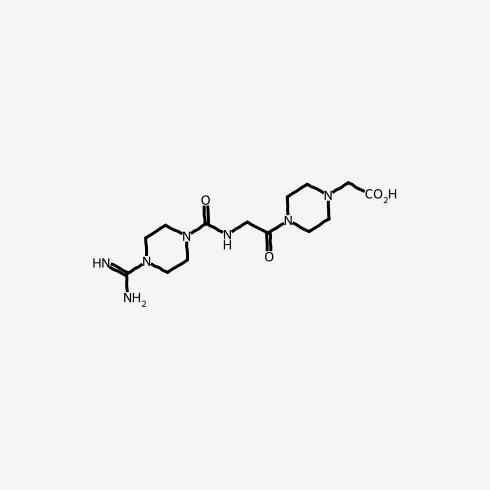 N=C(N)N1CCN(C(=O)NCC(=O)N2CCN(CC(=O)O)CC2)CC1